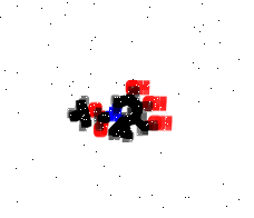 CC(C)(C)OC(=O)N1C[C@@H](O)[C@H](O)[C@@H](CO)C12CC2